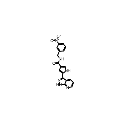 O=C(NCc1cccc([N+](=O)[O-])c1)c1c[nH]c(-c2n[nH]c3ncccc23)c1